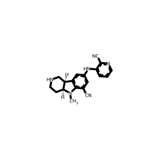 CN1c2c(C#N)cc(Nc3cccnc3C#N)cc2[C@@H]2CNCC[C@@H]21